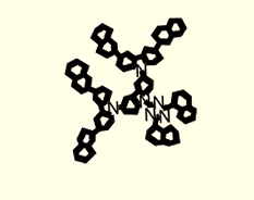 c1ccc2cc(-c3ccc4c(c3)c3cc(-c5ccc6ccccc6c5)ccc3n4-c3ccc4c(c3)c3cc(-n5c6ccc(-c7ccc8ccccc8c7)cc6c6cc(-c7ccc8ccccc8c7)ccc65)ccc3n4-c3nc(-c4cccc5ccccc45)nc(-c4cccc5ccccc45)n3)ccc2c1